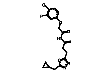 C=C(CCc1nnc(CC2CC2)o1)NC(=O)COc1ccc(Cl)c(F)c1